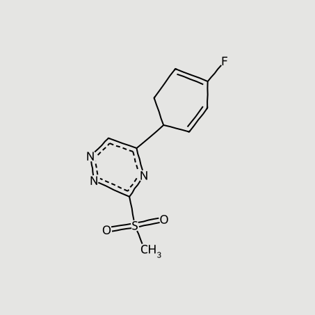 CS(=O)(=O)c1nncc(C2C=CC(F)=CC2)n1